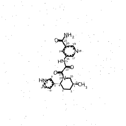 C[C@H]1CC[C@H](c2cn[nH]c2)N(C(=O)C(=O)Nc2cncc(C(N)=O)c2)C1